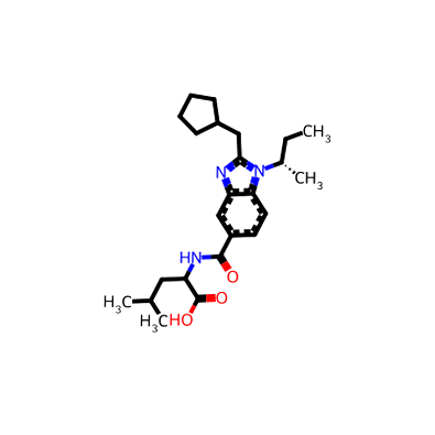 CC[C@H](C)n1c(CC2CCCC2)nc2cc(C(=O)NC(CC(C)C)C(=O)O)ccc21